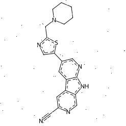 N#Cc1cc2c(cn1)[nH]c1ncc(-c3cnc(CN4CCCCC4)s3)cc12